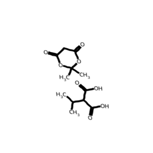 CC(C)C(C(=O)O)C(=O)O.CC1(C)OC(=O)CC(=O)O1